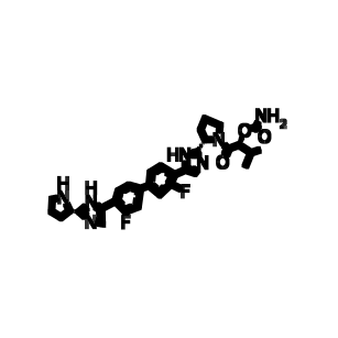 CC(C)[C@H](OC(N)=O)C(=O)N1CCC[C@H]1c1ncc(-c2ccc(-c3ccc(-c4cnc([C@@H]5CCCN5)[nH]4)c(F)c3)cc2F)[nH]1